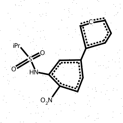 CC(C)S(=O)(=O)Nc1cc(-c2ccccc2)ccc1[N+](=O)[O-]